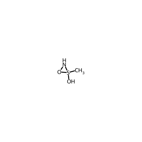 CS1(O)NO1